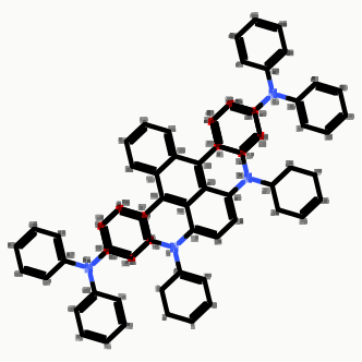 C1=CCCC(N(C2=CCCC=C2)c2ccc(N(C3=CCCC=C3)C3CC=CCC3)c3c(-c4ccc(N(c5ccccc5)c5ccccc5)cc4)c4ccccc4c(C4=CC=C(N(c5ccccc5)c5ccccc5)CC4)c23)=C1